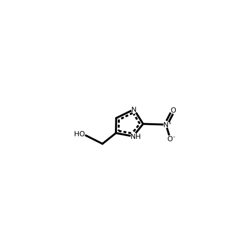 O=[N+]([O-])c1ncc(CO)[nH]1